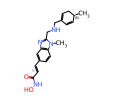 C[C@H]1C=CC(CNCc2nc3cc(/C=C/C(=O)NO)ccc3n2C)=CC1